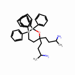 CC(N)CCC1(CCC(C)N)CC[Si](c2ccccc2)(c2ccccc2)[Si](c2ccccc2)(c2ccccc2)O1